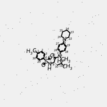 Cc1ccc(S(=O)(=O)N[C@@H](CC(C)C)C(=O)Nc2ccc(N3CCCCC3)cc2)cc1